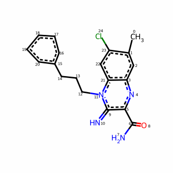 Cc1cc2nc(C(N)=O)c(=N)n(CCCc3ccccc3)c2cc1Cl